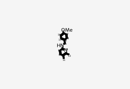 COc1ccc(CNc2ccc(C)c(C)n2)cc1